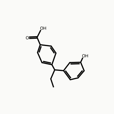 CCC(c1ccc(C(=O)O)cc1)c1cccc(O)c1